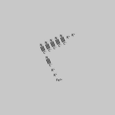 [C-]#N.[C-]#N.[C-]#N.[C-]#N.[C-]#N.[C-]#N.[Fe+2].[K+].[K+].[K+].[K+]